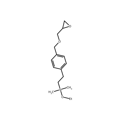 CCO[Si](C)(C)CCc1ccc(COCC2CO2)cc1